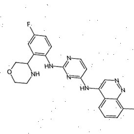 Cc1cccc2c(Nc3ccnc(Nc4ccc(F)cc4C4COCCN4)n3)cnnc12